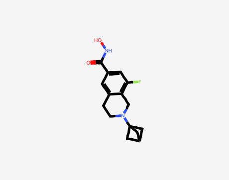 O=C(NO)c1cc(F)c2c(c1)CCN(C13CC(C1)C3)C2